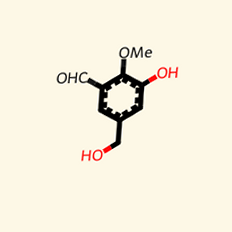 COc1c(O)cc(CO)cc1C=O